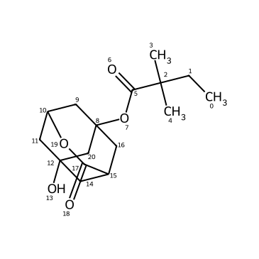 CCC(C)(C)C(=O)OC12CC3CC(O)(CC(C1)C(=O)O3)C2